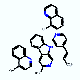 O=C(O)C=Cc1ccncc1.O=C(O)c1cc2c(cn1)[nH]c1ccccc12.O=C(O)c1cccc2cccnc12.O=C(O)c1ccnc2ccccc12